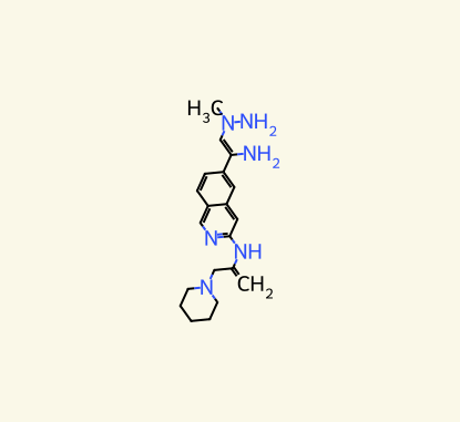 C=C(CN1CCCCC1)Nc1cc2cc(/C(N)=C/N(C)N)ccc2cn1